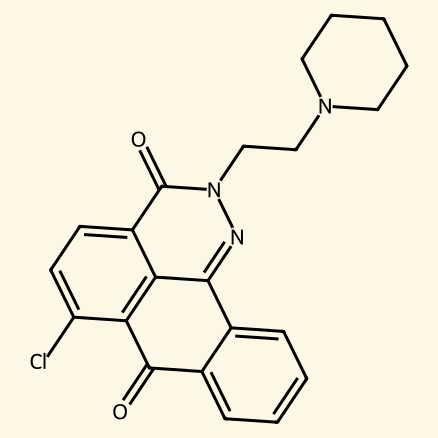 O=C1c2ccccc2-c2nn(CCN3CCCCC3)c(=O)c3ccc(Cl)c1c23